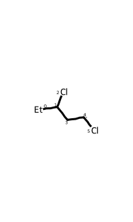 [CH2]CC(Cl)C[CH]Cl